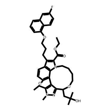 CCOC(=O)c1c(CCCOc2cccc3cc(F)ccc23)c2ccc(Cl)c3c2n1CCCCOC(CC(C)(C)O)c1nn(C)c(CC)c1-3